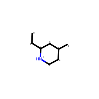 CCC1CC(C)CCN1